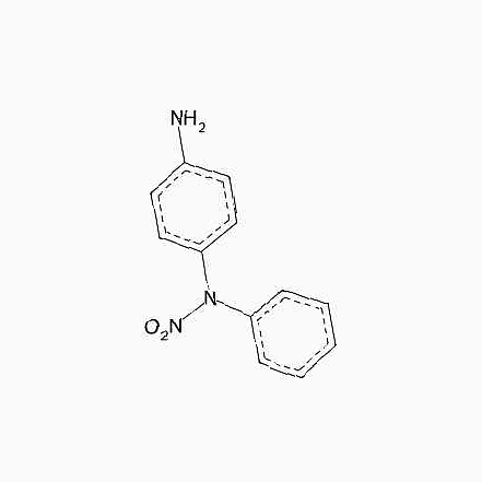 Nc1ccc(N(c2ccccc2)[N+](=O)[O-])cc1